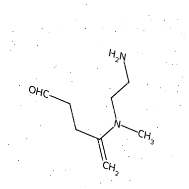 C=C(CCC=O)N(C)CCN